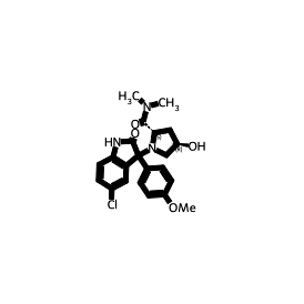 COc1ccc(C2(N3C[C@H](O)C[C@H]3C(=O)N(C)C)C(=O)Nc3ccc(Cl)cc32)cc1